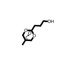 CC12COC(CCCO)(OC1)OC2